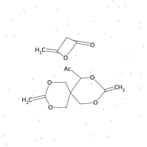 C=C1CC(=O)O1.C=C1OCC2(CO1)COC(=C)OC2C(C)=O